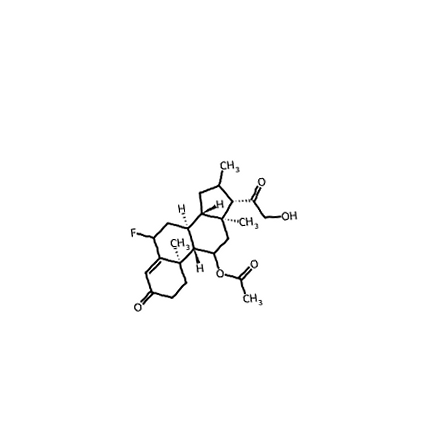 CC(=O)OC1C[C@]2(C)[C@@H](C(=O)CO)C(C)C[C@H]2[C@@H]2CC(F)C3=CC(=O)CC[C@]3(C)[C@@H]12